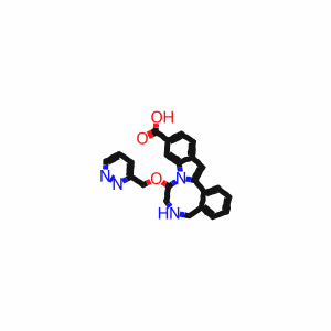 O=C(O)c1ccc2cc3n(c2c1)C(OCc1cccnn1)CNCc1ccccc1-3